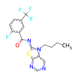 CCCCn1/c(=N/C(=O)c2cc(C(F)(F)F)ccc2F)sc2ncncc21